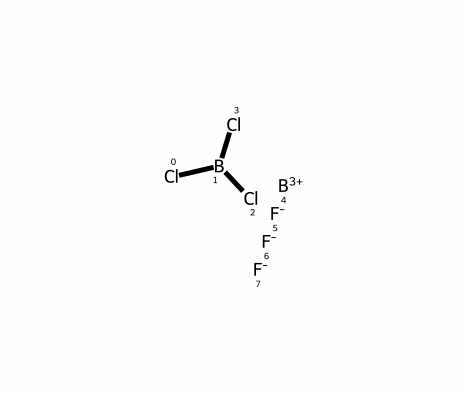 ClB(Cl)Cl.[B+3].[F-].[F-].[F-]